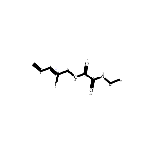 C=C/C=C(\F)COC(=O)C(=O)OCC